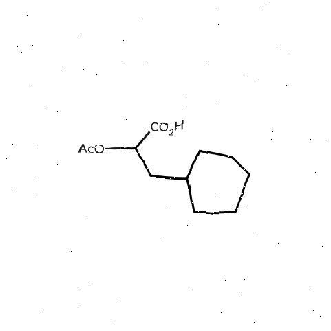 CC(=O)OC(CC1CCCCC1)C(=O)O